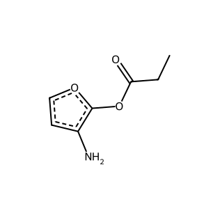 CCC(=O)Oc1occc1N